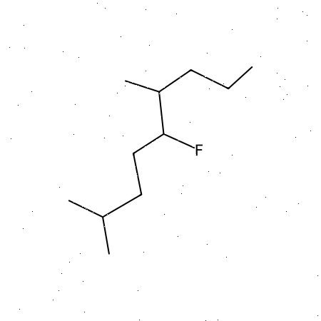 CCCC(C)C(F)CCC(C)C